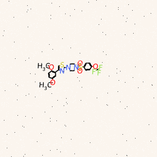 COc1ccc(OC)c(-c2csc(N3CCN(S(=O)(=O)c4ccc(OC(F)(F)F)cc4)CC3)n2)c1